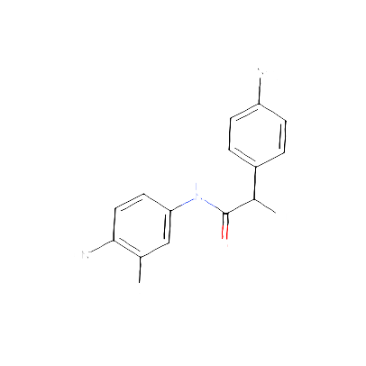 CC(C(=O)Nc1ccc([N+](=O)[O-])c(C(F)(F)F)c1)c1ccc([N+](=O)[O-])cc1